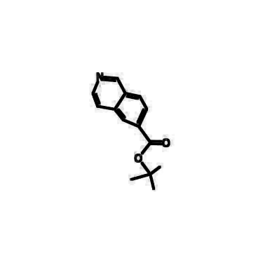 CC(C)(C)OC(=O)c1ccc2cnccc2c1